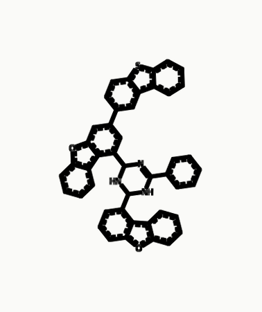 c1ccc(C2=NC(c3cc(-c4ccc5sc6ccccc6c5c4)cc4oc5ccccc5c34)NC(c3cccc4oc5ccccc5c34)N2)cc1